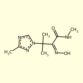 CNC(=O)C(=NO)C(C)(C)n1cnc(C)n1